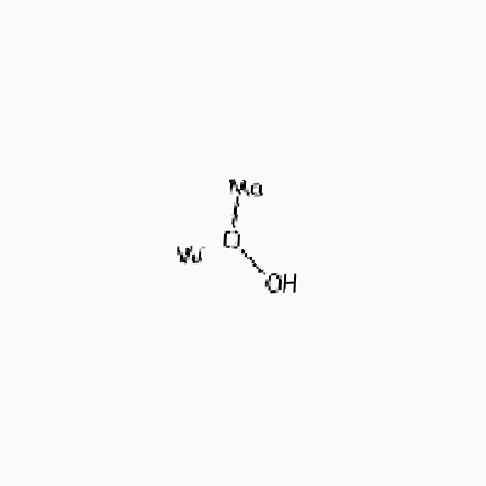 O[O][Mo].[W]